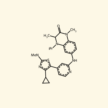 CNc1nc(C2CC2)c(-c2ccnc(Nc3ccc4c(c3)N(C(C)C)C(C)C(=O)N4C)c2)s1